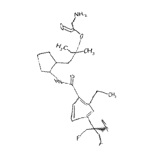 CCc1cc(C(F)(F)F)ccc1C(=O)NC1CCCC1CC(C)(C)OC(N)=O